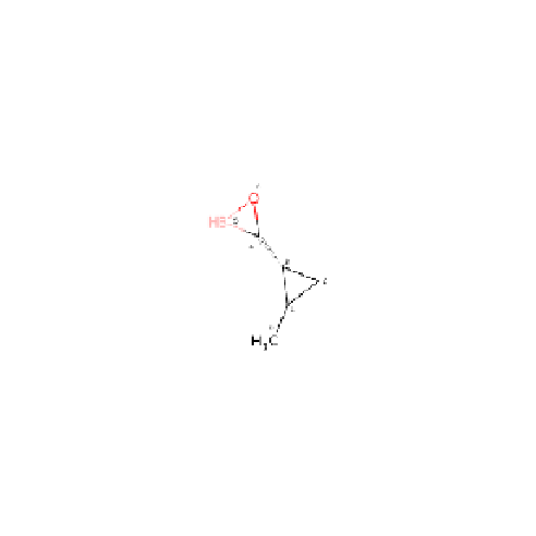 CC1C[C@H]1C1BO1